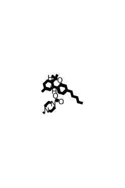 CCCCCc1cc(OC(=O)N2CCN(C)CC2)c2c(c1)OC(C)(C)[C@@H]1CCC(C)=C[C@@H]21